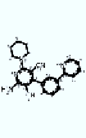 N#Cc1c(N)nc(N2CCCCC2)c(C#N)c1-c1cccc(-c2ccccn2)c1